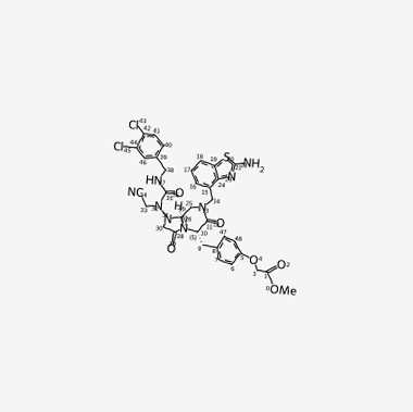 COC(=O)COc1ccc(C[C@H]2C(=O)N(Cc3cccc4sc(N)nc34)C[C@H]3N2C(=O)CN3N(CC#N)C(=O)NCc2ccc(Cl)c(Cl)c2)cc1